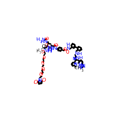 Cc1cccc(-c2nc(CNCc3ccccc3-c3cccc(CNC(=O)OCc4ccc(NC(=O)[C@H](CCCNC(N)=O)NC(=O)C(NC(=O)CCOCCOCCOCCOCCN5C(=O)C=CC5=O)C(C)C)cc4)c3)[nH]c2-c2ccc3ncnn3c2)n1